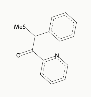 CSC(C(=O)c1ccccn1)c1ccccc1